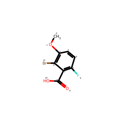 COc1ccc(F)c(C(=O)O)c1Br